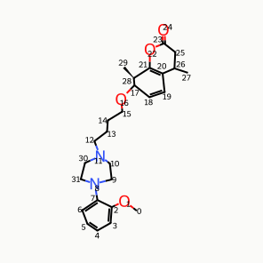 COc1ccccc1N1CCN(CCCCOC2C=CC3=C(OC(=O)CC3C)[C@@H]2C)CC1